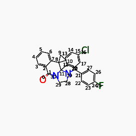 O=C1c2ccccc2C2(CC2)C2(c3ccc(Cl)cc3)N(Cc3ccc(F)cc3)CCN12